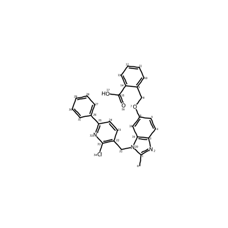 Cc1nc2ccc(OCc3ccccc3C(=O)O)cc2n1Cc1ccc(-c2ccccc2)nc1Cl